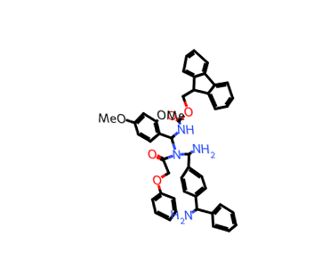 COc1ccc(C(NC(=O)OCC2c3ccccc3-c3ccccc32)N(C(=O)COc2ccccc2)C(N)c2ccc(C(N)c3ccccc3)cc2)c(OC)c1